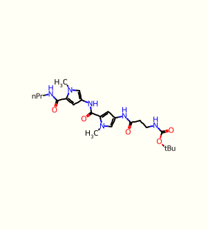 CCCNC(=O)c1cc(NC(=O)c2cc(NC(=O)CCNC(=O)OC(C)(C)C)cn2C)cn1C